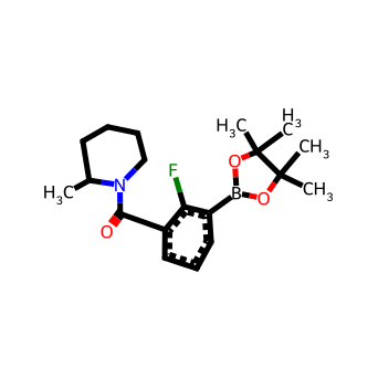 CC1CCCCN1C(=O)c1cccc(B2OC(C)(C)C(C)(C)O2)c1F